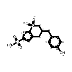 NS(=O)(=O)c1cc2c(s1)S(=O)(=O)CC(Cc1ccc(O)cc1)C2